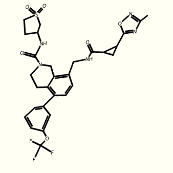 Cc1noc(C2CC2C(=O)NCc2ccc(-c3cccc(OC(F)(F)F)c3)c3c2CN(C(=O)NC2CCS(=O)(=O)C2)CC3)n1